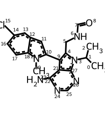 CC(C)n1c(CNC=O)c(-c2cc3cc(Cl)ccc3n2C)c2c(N)ncnc21